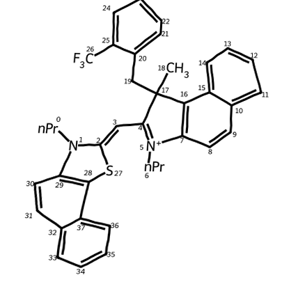 CCCN1/C(=C/C2=[N+](CCC)c3ccc4ccccc4c3C2(C)Cc2ccccc2C(F)(F)F)Sc2c1ccc1ccccc21